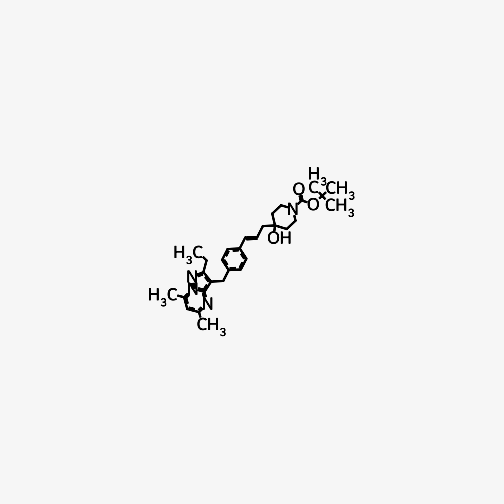 CCc1nn2c(C)cc(C)nc2c1Cc1ccc(C=CCC2(O)CCN(C(=O)OC(C)(C)C)CC2)cc1